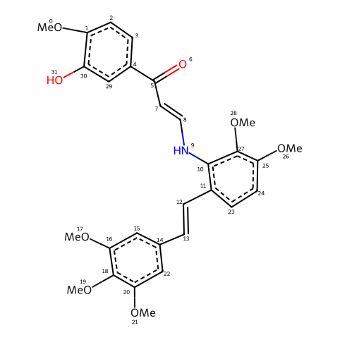 COc1ccc(C(=O)C=CNc2c(C=Cc3cc(OC)c(OC)c(OC)c3)ccc(OC)c2OC)cc1O